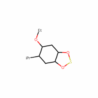 CCOC1CC2OSOC2CC1C(C)C